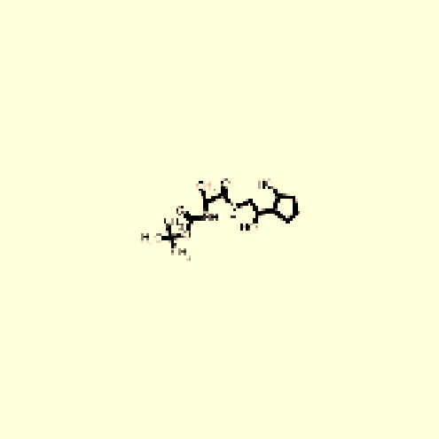 CC(NC(=O)OC(C)(C)C)C(=O)NCC(O)C1CCCC1O